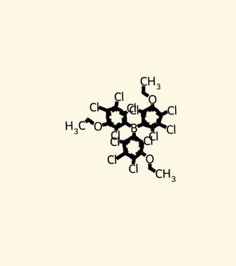 CCOc1c(Cl)c(Cl)c(Cl)c(B(c2c(Cl)c(Cl)c(Cl)c(OCC)c2Cl)c2c(Cl)c(Cl)c(Cl)c(OCC)c2Cl)c1Cl